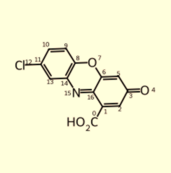 O=C(O)c1cc(=O)cc2oc3ccc(Cl)cc3nc1-2